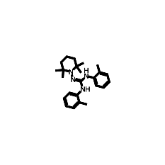 Cc1ccccc1NC(=NN1C(C)(C)CCCC1(C)C)Nc1ccccc1C